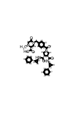 CN1CC(=O)N(Cc2ccc(C(=O)N3C[C@@H](C(=O)N[C@H]4C[C@@H]4c4ccccc4)[C@H](C(=O)N[C@H]4C[C@@H]4c4ccccc4)C3)cc2)C[C@H]1C(=O)O